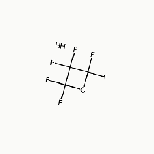 FC1(F)OC(F)(F)C1(F)F.[HH]